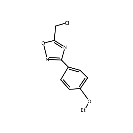 CCOc1ccc(-c2noc(CCl)n2)cc1